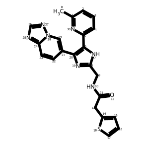 Cc1cccc(-c2[nH]c(CNC(=O)Cc3cccs3)nc2-c2ccc3ncnn3c2)n1